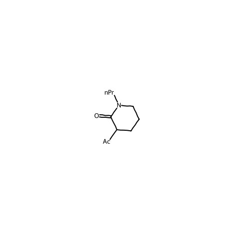 CCCN1CCCC(C(C)=O)C1=O